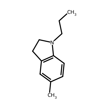 CCCN1CCc2cc(C)ccc21